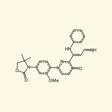 COc1cc(N2C(=O)OCC2(C)C)ccc1-n1ccc(=O)c(/C(=C/C=N)Nc2ccccc2)n1